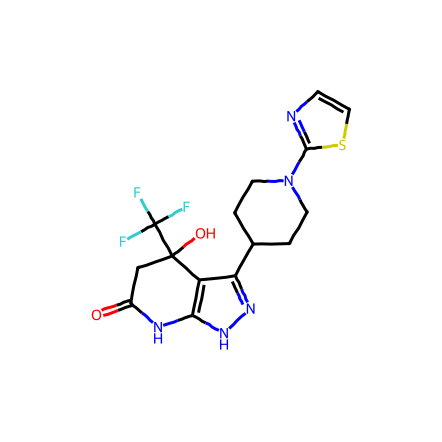 O=C1CC(O)(C(F)(F)F)c2c(C3CCN(c4nccs4)CC3)n[nH]c2N1